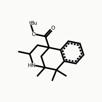 CC1CC2(C(=O)OC(C)(C)C)CC(C)(N1)C(C)(C)c1ccccc12